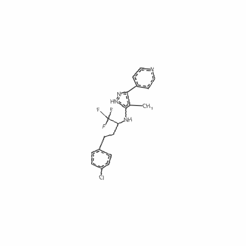 Cc1c(-c2ccncc2)n[nH]c1NC(CCc1ccc(Cl)cc1)C(F)(F)F